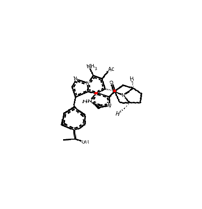 CC(=O)c1c([C@@H]2C[C@H]3CC[C@@H](C2)N3C(=O)c2nc[nH]n2)nc2c(-c3ccc(C(C)O)cc3)cnn2c1N